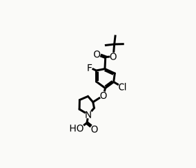 CC(C)(C)OC(=O)c1cc(Cl)c(OC2CCCN(C(=O)O)C2)cc1F